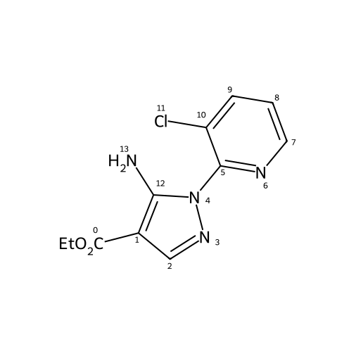 CCOC(=O)c1cnn(-c2ncccc2Cl)c1N